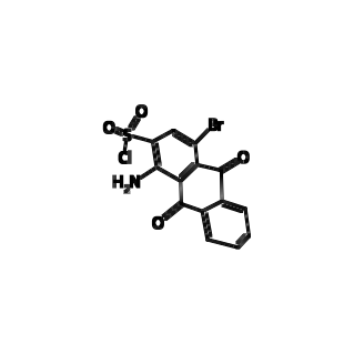 Nc1c(S(=O)(=O)Cl)cc(Br)c2c1C(=O)c1ccccc1C2=O